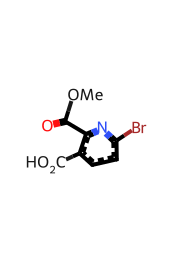 COC(=O)c1nc(Br)ccc1C(=O)O